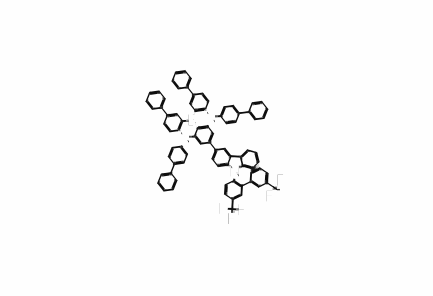 FC(F)(F)c1cccc(-c2cc(C(F)(F)F)ccc2-n2c3ccccc3c3cc(-c4cc5c6c(c4)N(c4ccc(-c7ccccc7)cc4)c4ccc(-c7ccccc7)cc4B6c4cc(-c6ccccc6)ccc4N5c4ccc(-c5ccccc5)cc4)ccc32)c1